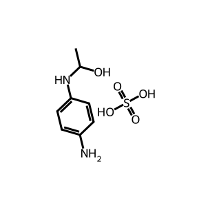 CC(O)Nc1ccc(N)cc1.O=S(=O)(O)O